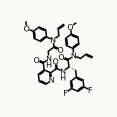 C=CCN(C(=O)CNC(=O)c1cccnc1C(=O)N[C@@H](Cc1cc(F)cc(F)c1)C(=O)N(CC=C)c1ccc(OC)cc1)c1ccc(OC)cc1